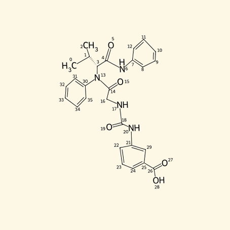 CC(C)[C@H](C(=O)Nc1ccccc1)N(C(=O)CNC(=O)Nc1cccc(C(=O)O)c1)c1ccccc1